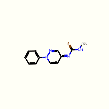 CCCCNC(=S)/N=c1/ccn(-c2ccccc2)nc1